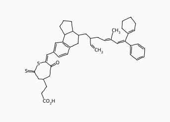 C=CC(C/C=C(C)/C=C(\C1=CCCCC1)c1ccccc1)CC1Cc2ccc(/C=C3/SC(=S)CC(CCC(=O)O)CC3=O)cc2C2CCCC12